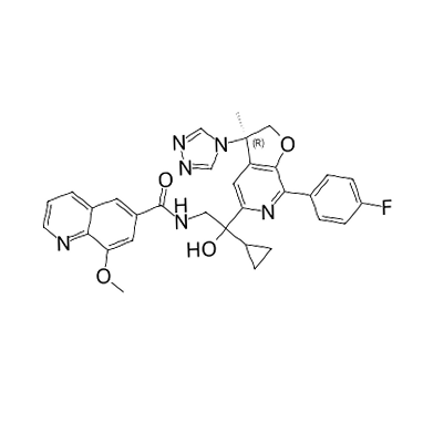 COc1cc(C(=O)NCC(O)(c2cc3c(c(-c4ccc(F)cc4)n2)OC[C@]3(C)n2cnnc2)C2CC2)cc2cccnc12